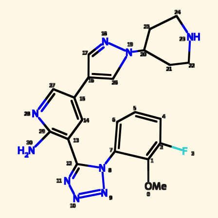 COc1c(F)cccc1-n1nnnc1-c1cc(-c2cnn(C3CCNCC3)c2)cnc1N